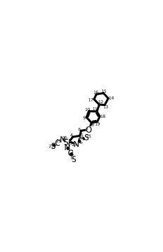 S=C=N[Si](CCCOc1ccc(C2CCCCC2)cc1)(N=C=S)N=C=S